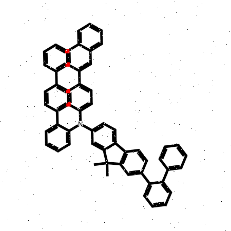 CC1(C)c2cc(-c3ccccc3-c3ccccc3)ccc2-c2ccc(N(c3ccc(-c4ccc5ccccc5c4)cc3)c3ccccc3-c3ccc(-c4ccccc4)cc3)cc21